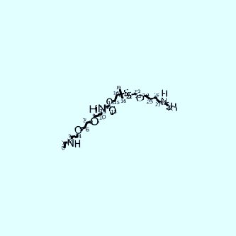 CCNCCOCCOCCNC(=O)OCCC(C)(C)SSCOCCCCNS